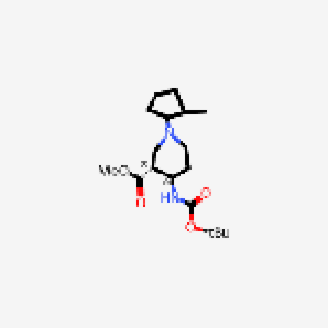 COC(=O)[C@@H]1CN(C2CCCC2C)CC[C@H]1NC(=O)OC(C)(C)C